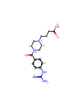 N=C(N)Nc1ccc(C(=O)N2CCN(CCCC(=O)O)CC2)cc1